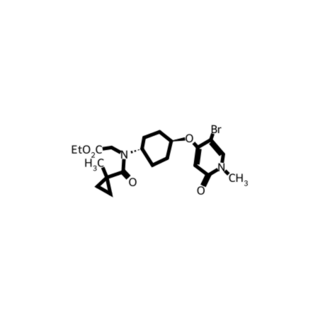 CCOC(=O)CN(C(=O)C1(C)CC1)[C@H]1CC[C@H](Oc2cc(=O)n(C)cc2Br)CC1